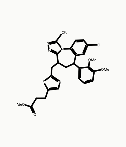 COC(=O)CCc1cnc(CC2CC(c3cccc(OC)c3OC)c3cc(Cl)ccc3-n3c2nnc3C(F)(F)F)s1